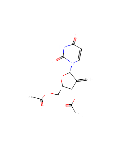 C=C1[C@H](n2ccc(=O)[nH]c2=O)O[C@H](COC(=O)C(C)(C)C)[C@H]1OC(=O)C(C)(C)C